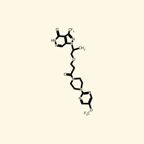 CC(COCCC(=O)N1CCN(c2ncc(OC(F)(F)F)cn2)CC1)n1nc(C(F)(F)F)c2c(=O)[nH]ncc21